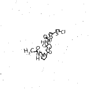 CCC(=O)NC[C@@H]1CCCN1C(=O)CN1CCCC(NS(=O)(=O)c2ccc(-c3ccc(Cl)s3)s2)C1=O